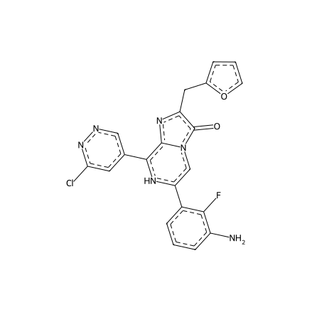 Nc1cccc(-c2cn3c(=O)c(Cc4ccco4)nc-3c(-c3cnnc(Cl)c3)[nH]2)c1F